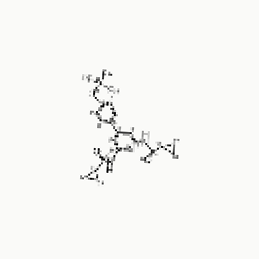 O=C(Nc1cc(-c2ccc(OC(F)(F)F)cc2)cc(NC(=O)C2CC2)n1)C1CC1